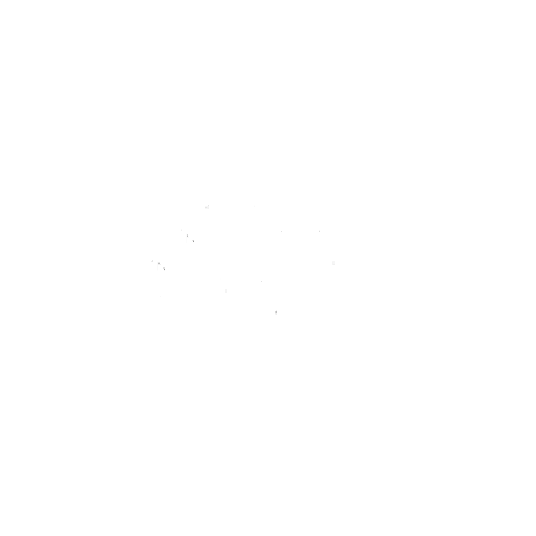 CC(=O)c1cc(F)ccc1-c1c(I)cnn1C